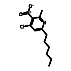 CCCCCCc1cc(Cl)c([N+](=O)[O-])c(C)n1